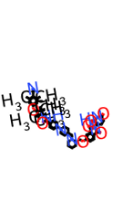 Cc1cc(OC2C(C)(C)C(NC(=O)c3ccc(N4CCC(CN5CCCC[C@H]5COc5ccc6c(c5)C(=O)N(C5CCC(=O)NC5=O)C6=O)CC4)cc3)C2(C)C)cc(C)c1C#N